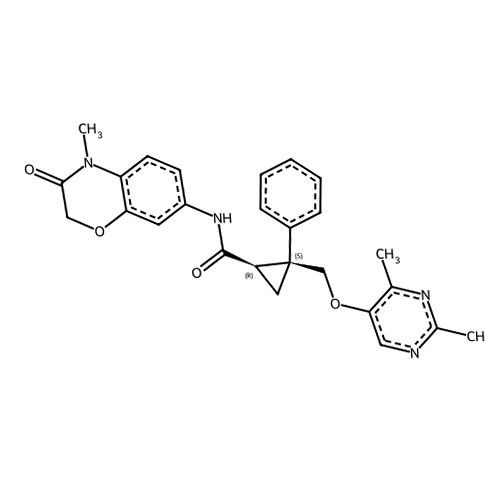 Cc1ncc(OC[C@@]2(c3ccccc3)C[C@H]2C(=O)Nc2ccc3c(c2)OCC(=O)N3C)c(C)n1